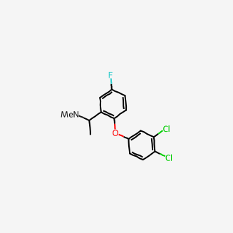 CNC(C)c1cc(F)ccc1Oc1ccc(Cl)c(Cl)c1